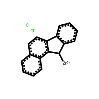 [Cl-].[Cl-].[Zr+2][CH]1c2ccccc2-c2ccc3ccccc3c21